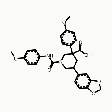 COc1ccc(NC(=O)N2CC(c3ccc4c(c3)OCO4)CC(C(=O)O)(c3ccc(OC)cc3)C2)cc1